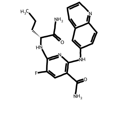 CCC[C@@H](Nc1nc(Nc2ccc3ncccc3c2)c(C(N)=O)cc1F)C(N)=O